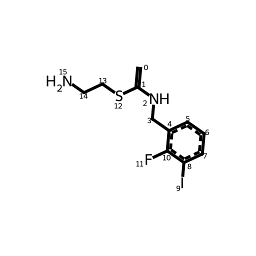 C=C(NCc1cccc(I)c1F)SCCN